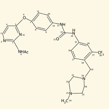 CC(=O)Nc1nccc(Oc2ccc(NC(=O)Nc3ccc(CN4CCN(C)CC4)c(C(F)(F)F)c3)cc2)n1